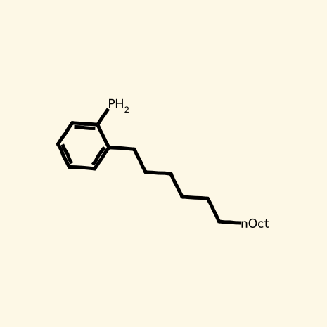 CCCCCCCCCCCCCCc1ccccc1P